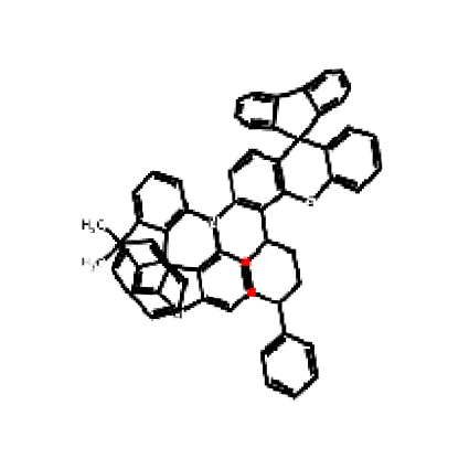 CC1(C)c2ccccc2-c2c(N(c3ccc4c(c3C3CCC(c5ccccc5)CC3)Sc3ccccc3C43c4ccccc4-c4ccccc43)c3cccc4oc5ccccc5c34)cccc21